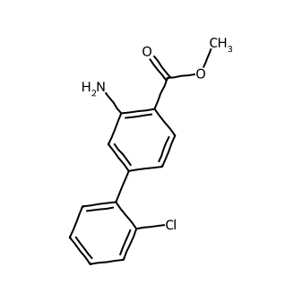 COC(=O)c1ccc(-c2ccccc2Cl)cc1N